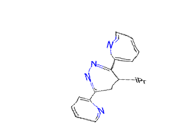 CC(C)C1CC(c2ccccn2)=NN=C1c1ccccn1